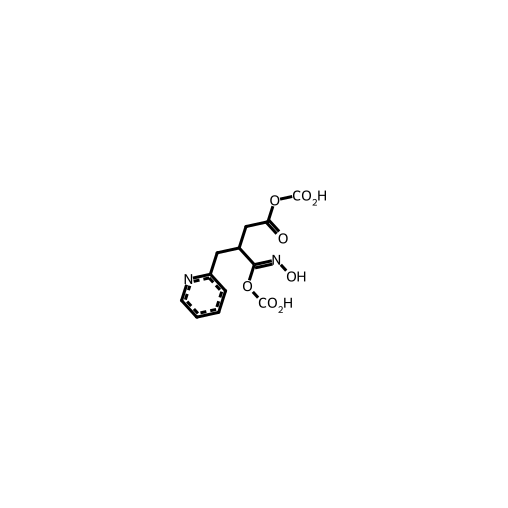 O=C(O)OC(=O)CC(Cc1ccccn1)/C(=N/O)OC(=O)O